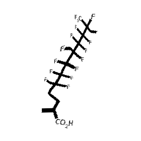 C=C(CCC(F)(F)C(F)(F)C(F)(F)C(F)(F)C(F)(F)C(F)(F)C(C)(F)C(F)(F)F)C(=O)O